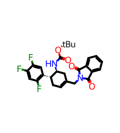 CC(C)(C)OC(=O)N[C@H]1CC(CN2C(=O)c3ccccc3C2=O)=CC[C@@H]1c1cc(F)c(F)cc1F